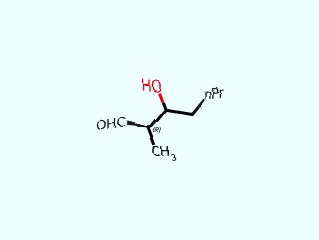 CCCCC(O)[C@@H](C)C=O